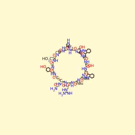 CCCC[C@H]1C(=O)N(C)[C@@H](CCCC)C(=O)N[C@@H](CCCNC(=N)N)C(=O)N[C@H](C(=O)NCC(N)=O)CSCC(=O)N[C@@H](Cc2ccc(O)cc2)C(=O)N(C)[C@@H](C)C(=O)N[C@@H](CC(=O)O)C(=O)N2CCC[C@H]2C(=O)N[C@@H](Cc2c[nH]cn2)C(=O)N[C@@H](CC(C)C)C(=O)N2C[C@H](O)C[C@H]2C(=O)N[C@@H]([C@@H](C)c2c[nH]c3ccccc23)C(=O)N[C@@H](CO)C(=O)N[C@@H](Cc2c[nH]c3ccccc23)C(=O)N1C